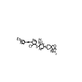 CCn1cc(C#Cc2nccc(Sc3ncc(N4CCC5(CC4)CO[C@@H](C)[C@H]5N)nc3N)c2Cl)cn1